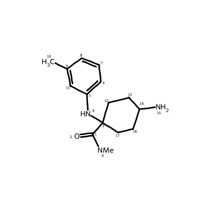 CNC(=O)C1(Nc2cccc(C)c2)CCC(N)CC1